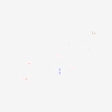 CCc1cc(Br)ccc1S(=O)(=O)NCCC(=O)OC